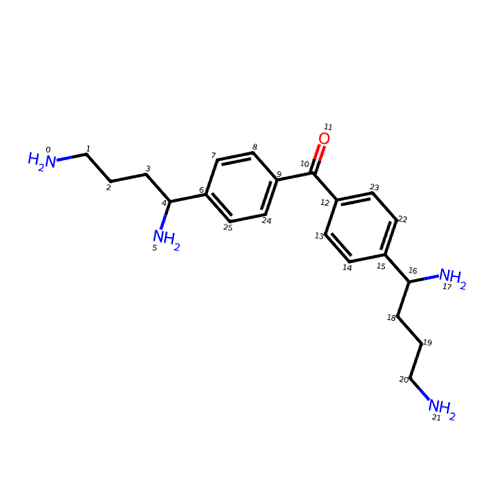 NCCCC(N)c1ccc(C(=O)c2ccc(C(N)CCCN)cc2)cc1